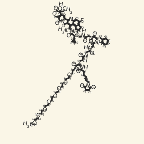 CC[C@@]1(O)C(=O)OCc2c1cc1n(c2=O)Cc2c-1nc1cc(F)c3c(c1c2[C@H](C)NC(=O)[C@H](OCNC(=O)CNC(=O)[C@H](Cc1ccccc1)NC(=O)CNC(=O)CNC(=O)CC[C@H](NC(=O)CCCCCN1C(=O)C=CC1=O)C(=O)NCCOCCOCCOCCOCCOCCOCCOCCOC)C1CC1)CCC3